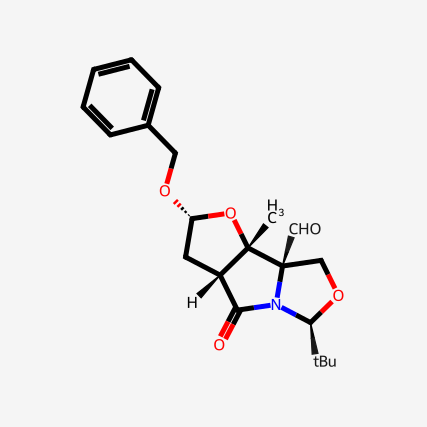 CC(C)(C)[C@@H]1OC[C@]2(C=O)N1C(=O)[C@@H]1C[C@H](OCc3ccccc3)O[C@@]12C